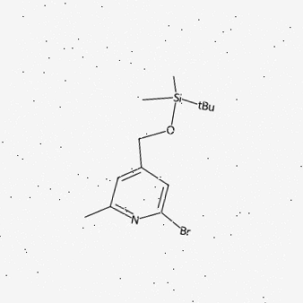 Cc1cc(CO[Si](C)(C)C(C)(C)C)cc(Br)n1